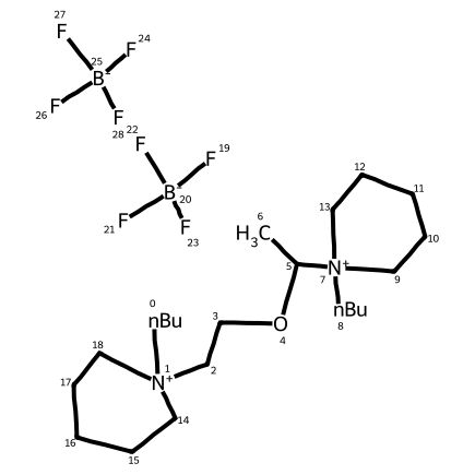 CCCC[N+]1(CCOC(C)[N+]2(CCCC)CCCCC2)CCCCC1.F[B-](F)(F)F.F[B-](F)(F)F